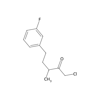 C[C](CCc1cccc(F)c1)C(=O)CCl